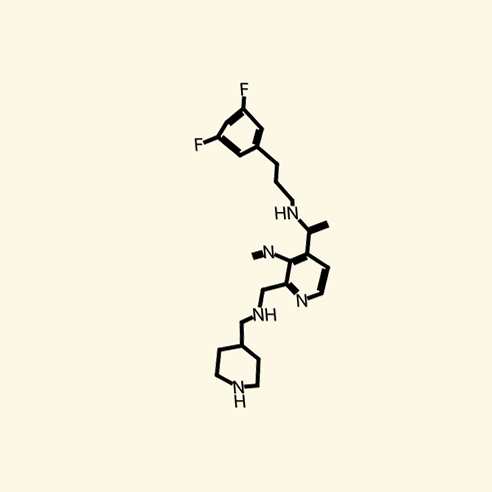 C=Nc1c(C(=C)NCCCc2cc(F)cc(F)c2)ccnc1CNCC1CCNCC1